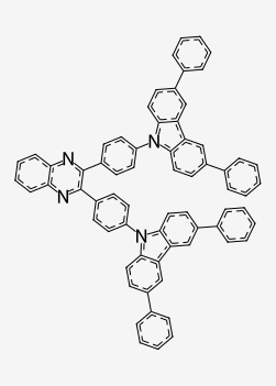 c1ccc(-c2ccc3c(c2)c2cc(-c4ccccc4)ccc2n3-c2ccc(-c3nc4ccccc4nc3-c3ccc(-n4c5ccc(-c6ccccc6)cc5c5cc(-c6ccccc6)ccc54)cc3)cc2)cc1